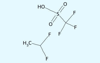 CC(F)F.O=S(=O)(O)C(F)(F)F